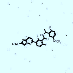 CC(=O)Nc1cn2nc(-c3ccc(F)c(C(=O)NC(C)c4cc(OC(F)(F)F)ccc4F)c3F)ccc2n1